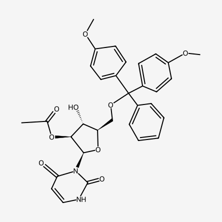 COc1ccc(C(OC[C@H]2O[C@@H](n3c(=O)cc[nH]c3=O)[C@@H](OC(C)=O)[C@@H]2O)(c2ccccc2)c2ccc(OC)cc2)cc1